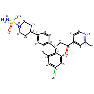 Cc1cc(C(=O)C[C@H](c2ccc(C3CCN(S(N)(=O)=O)CC3)cc2)c2ccc(Cl)cc2C)ccn1